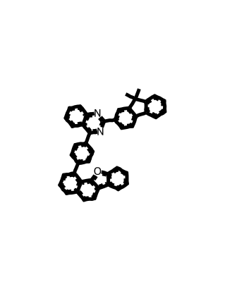 CC1(C)c2ccccc2-c2ccc(-c3nc(-c4ccc(-c5cccc6ccc7c8ccccc8oc7c56)cc4)c4ccccc4n3)cc21